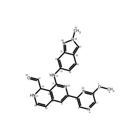 COc1cncc(-c2cc3c(c(Nc4ccc5cn(C)nc5c4)n2)C(C=O)NC=C3)n1